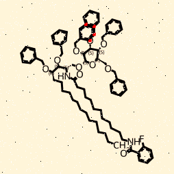 CCCCCCCCCCCCCC[C@@H](OCc1ccccc1)[C@@H](OCc1ccccc1)[C@H](CO[C@H]1O[C@H](COCc2ccccc2)[C@H](OCc2ccccc2)[C@H](OCc2ccccc2)[C@H]1OCc1ccccc1)NC(=O)CCCCCCCCCCCNC(=O)c1ccccc1F